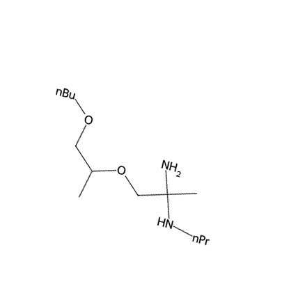 CCCCOCC(C)OCC(C)(N)NCCC